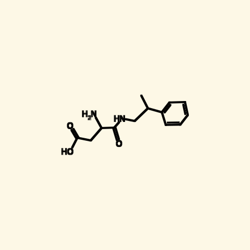 CC(CNC(=O)C(N)CC(=O)O)c1ccccc1